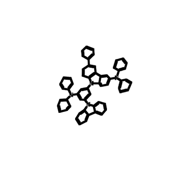 c1ccc(-c2ccc3c(c2)c2cc(N(c4ccccc4)c4ccccc4)ccc2n3-c2cc(N(c3ccccc3)c3ccccc3)cc(-n3c4ccccc4c4ccccc43)c2)cc1